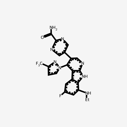 CCNc1cc(F)cc2c1[nH]c1ncc(-c3cnc(C(N)=O)nc3)c(-n3ccc(C(F)(F)F)n3)c12